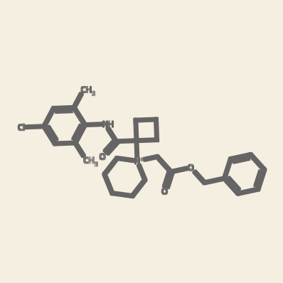 Cc1cc(Cl)cc(C)c1NC(=O)C1([N+]2(CC(=O)OCc3ccccc3)CCCCC2)CCC1